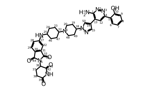 Nc1nnc(-c2ccccc2O)cc1-c1cnn(C2CCN(C3CCC(Nc4ccc5c(c4)C(=O)N(C4CCC(=O)NC4=O)C5=O)CC3)CC2)c1